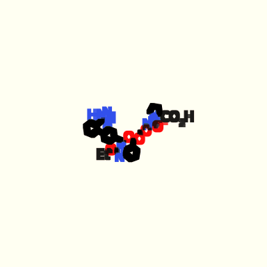 CCOc1nc2cccc(C(=O)OCO/N=[N+](\[O-])N3CCCC3C(=O)O)c2n1Cc1ccc(-c2ccccc2-c2nnn[nH]2)cc1